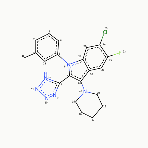 Cc1cccc(-n2c(-c3nnn[nH]3)c(N3CCCCC3)c3cc(F)c(Cl)cc32)c1